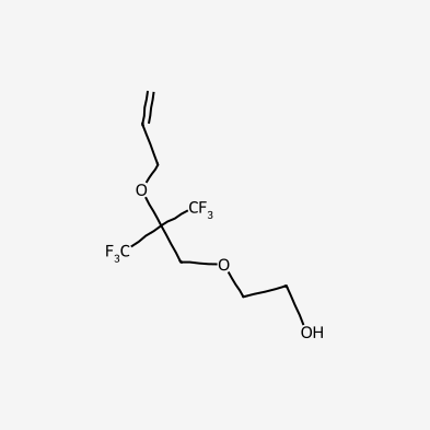 C=CCOC(COCCO)(C(F)(F)F)C(F)(F)F